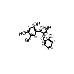 Oc1cc(O)c(-c2n[nH]cc2Oc2ccccc2Cl)cc1Br